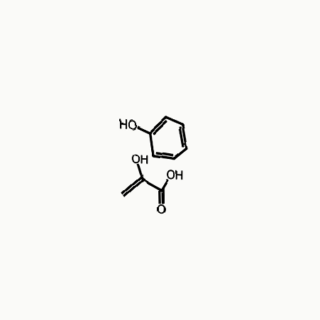 C=C(O)C(=O)O.Oc1ccccc1